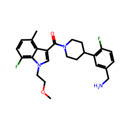 COCCn1cc(C(=O)N2CCC(c3cc(CN)ccc3F)CC2)c2c(C)ccc(F)c21